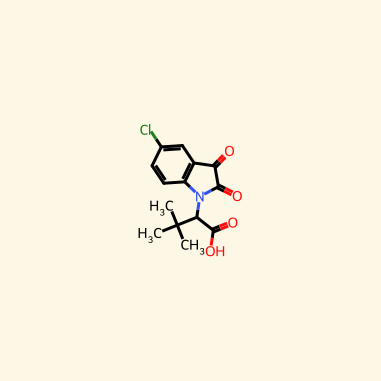 CC(C)(C)C(C(=O)O)N1C(=O)C(=O)c2cc(Cl)ccc21